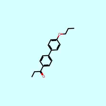 CCCOc1ccc(-c2ccc(C(=O)CC)cc2)cc1